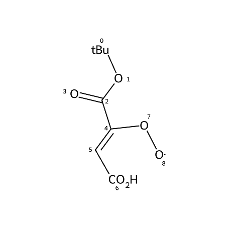 CC(C)(C)OC(=O)C(=CC(=O)O)O[O]